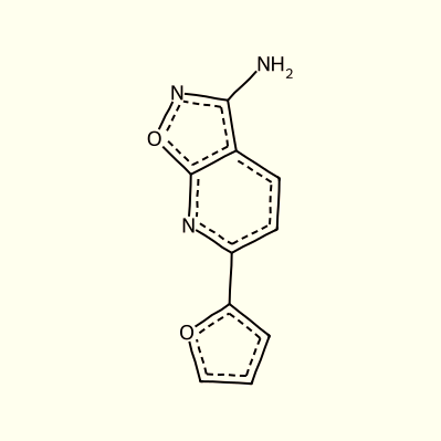 Nc1noc2nc(-c3ccco3)ccc12